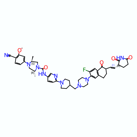 COc1cc(N2C[C@@H](C)N(C(=O)Nc3ccc(N4CCC(CN5CCN(c6cc7c(cc6F)C(=O)C(/C=C/[C@H]6CCC(=O)NC6=O)CC7)CC5)CC4)nc3)C[C@@H]2C)ccc1C#N